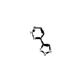 C1=C(c2ccnnn2)SSS1